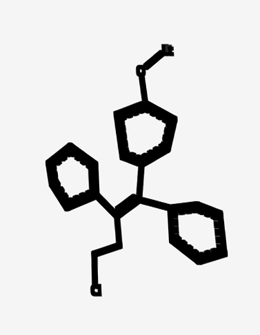 [CH2]COc1ccc(/C(=C(/CCCl)c2ccccc2)c2ccccc2)cc1